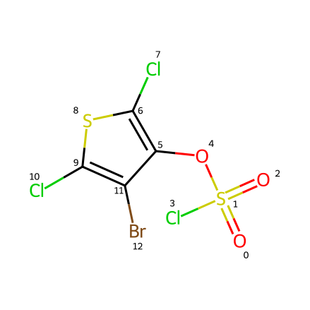 O=S(=O)(Cl)Oc1c(Cl)sc(Cl)c1Br